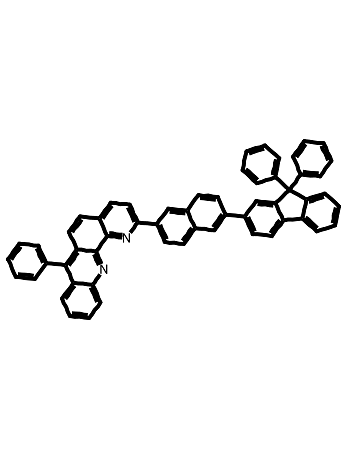 c1ccc(-c2c3ccccc3nc3c2ccc2ccc(-c4ccc5cc(-c6ccc7c(c6)C(c6ccccc6)(c6ccccc6)c6ccccc6-7)ccc5c4)nc23)cc1